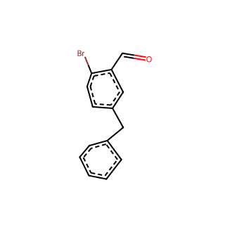 O=Cc1cc(Cc2ccccc2)ccc1Br